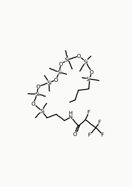 CCCC[Si](C)(C)O[Si](C)(C)O[Si](C)(C)O[Si](C)(C)O[Si](C)(C)O[Si](C)(C)O[Si](C)(C)CCCNC(=O)C(F)C(F)(F)F